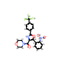 O=C(c1nc(-c2ccc(C(F)(F)F)cc2)oc1-c1ccccc1[N+](=O)[O-])N1CCOCC1